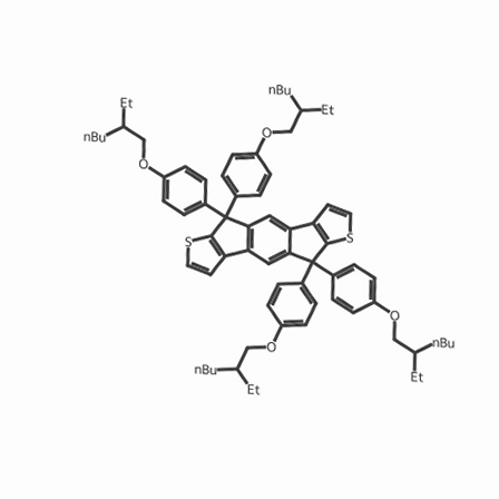 CCCCC(CC)COc1ccc(C2(c3ccc(OCC(CC)CCCC)cc3)c3cc4c(cc3-c3ccsc32)C(c2ccc(OCC(CC)CCCC)cc2)(c2ccc(OCC(CC)CCCC)cc2)c2sccc2-4)cc1